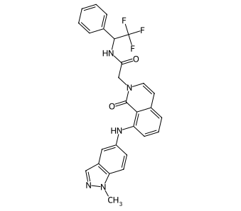 Cn1ncc2cc(Nc3cccc4ccn(CC(=O)NC(c5ccccc5)C(F)(F)F)c(=O)c34)ccc21